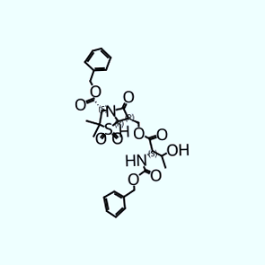 CC(O)[C@H](NC(=O)OCc1ccccc1)C(=O)OC[C@@H]1C(=O)N2[C@@H](C(=O)OCc3ccccc3)C(C)(C)S(=O)(=O)[C@H]12